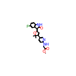 COC(=O)CNc1ccc(C2=C/C(=C3\C(=O)Nc4ccc(F)cc43)OC2(C)C)cn1